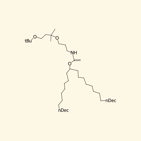 C=C(NCCCOC(C)(C)CCOC(C)(C)C)OC(CCCCCCCCCCCCCCCCC)CCCCCCCCCCCCCCCCCC